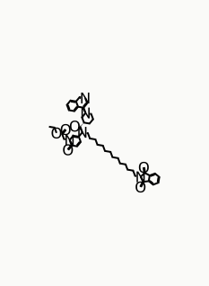 CCOC(=O)Cn1cc(N(CCCCCCCCCCCCCCN2C(=O)c3ccccc3C2=O)C(=O)[C@H]2CCCN(c3cncc4ccccc34)C2)ccc1=O